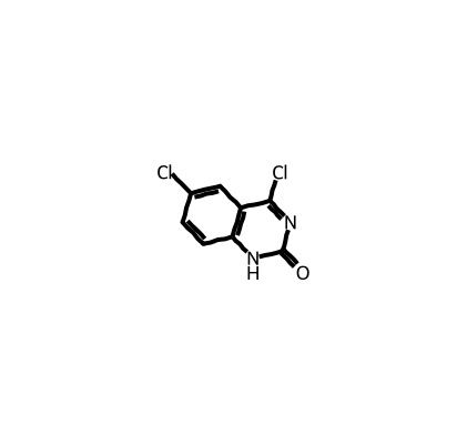 O=c1nc(Cl)c2cc(Cl)ccc2[nH]1